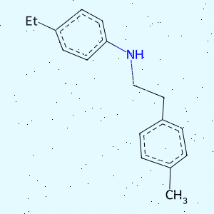 CCc1ccc(NCCc2ccc(C)cc2)cc1